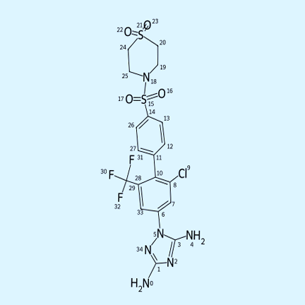 Nc1nc(N)n(-c2cc(Cl)c(-c3ccc(S(=O)(=O)N4CCS(=O)(=O)CC4)cc3)c(C(F)(F)F)c2)n1